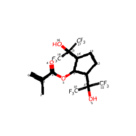 C=C(C)C(=O)OC1C(C(O)(C(F)(F)F)C(F)(F)F)CCC1C(O)(C(F)(F)F)C(F)(F)F